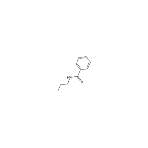 CCCNC(=O)c1ccccc1